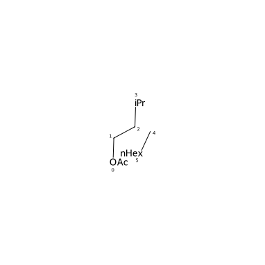 CC(=O)OCCC(C)C.CCCCCCC